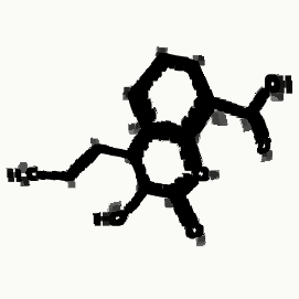 CCCc1c(O)c(=O)oc2c(C(=O)O)cccc12